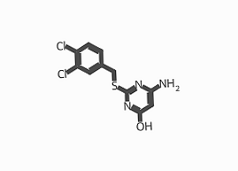 Nc1cc(O)nc(SCc2ccc(Cl)c(Cl)c2)n1